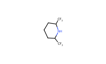 FC(F)(F)C1C[CH]CC(C(F)(F)F)N1